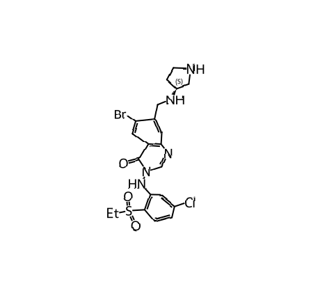 CCS(=O)(=O)c1ccc(Cl)cc1Nn1cnc2cc(CN[C@H]3CCNC3)c(Br)cc2c1=O